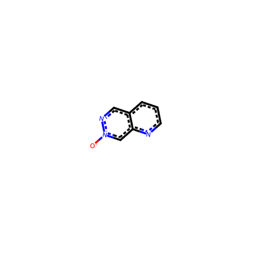 [O-][n+]1cc2ncccc2cn1